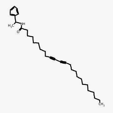 CCCCCCCCCCCCC#CC#CCCCCCCCCC(=O)NC(C)c1ccccc1